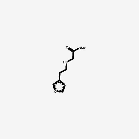 CNC(=O)CNCCc1cocn1